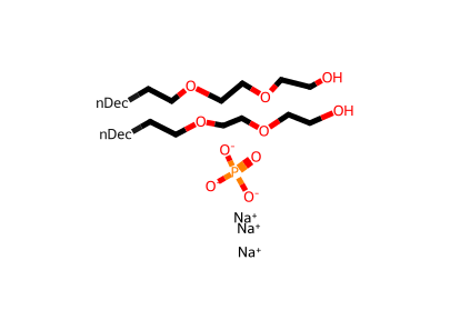 CCCCCCCCCCCCOCCOCCO.CCCCCCCCCCCCOCCOCCO.O=P([O-])([O-])[O-].[Na+].[Na+].[Na+]